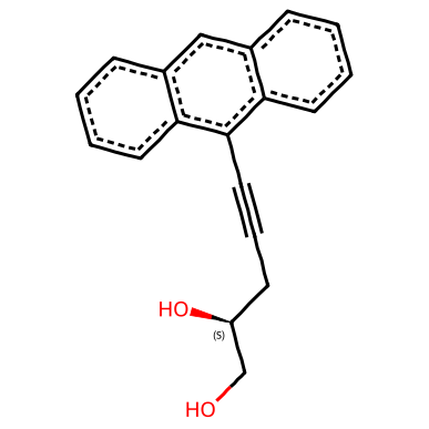 OC[C@@H](O)CC#Cc1c2ccccc2cc2ccccc12